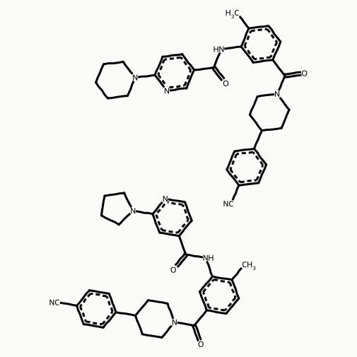 Cc1ccc(C(=O)N2CCC(c3ccc(C#N)cc3)CC2)cc1NC(=O)c1ccc(N2CCCCC2)nc1.Cc1ccc(C(=O)N2CCC(c3ccc(C#N)cc3)CC2)cc1NC(=O)c1ccnc(N2CCCC2)c1